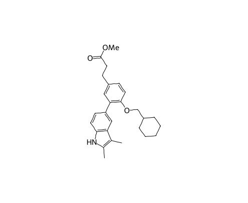 COC(=O)CCc1ccc(OCC2CCCCC2)c(-c2ccc3[nH]c(C)c(C)c3c2)c1